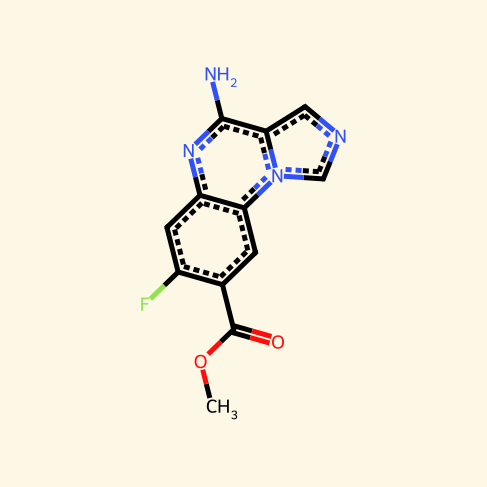 COC(=O)c1cc2c(cc1F)nc(N)c1cncn12